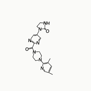 Cc1cnc(N2CCN(C(=O)c3ncc(N4CCNC4=O)cn3)CC2)c(C)c1